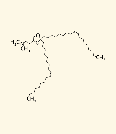 CCCCCCCC/C=C\CCCCCCCCC1(CCCCCCCC/C=C\CCCCCCCC)OCC(CCN(C)C)O1